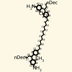 CCCCCCCCCCCCC(c1ccc(CCCCCCCCCCCCCc2ccc(C(CCCCCCCCCCCC)c3ccc(N)cc3C)cc2)cc1)c1ccc(N)cc1C